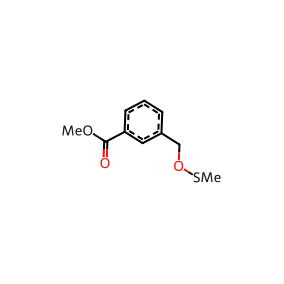 COC(=O)c1cccc(COSC)c1